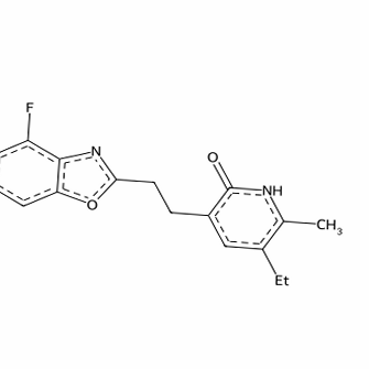 CCc1cc(CCc2nc3c(F)cccc3o2)c(=O)[nH]c1C